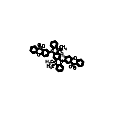 C[Si]1(C)c2ccccc2N(c2ccc3c(c2)S(=O)(=O)c2ccccc2O3)c2cc3c(cc21)N(c1ccc2c(c1)S(=O)(=O)c1ccccc1O2)c1ccccc1[Si]3(C)C